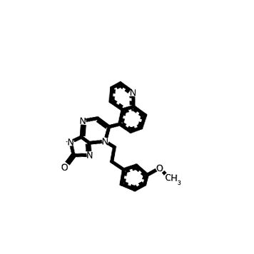 COc1cccc(CCN2C(c3cccc4ncccc34)=CN=C3[N]C(=O)N=C32)c1